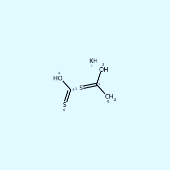 CC(O)=S.OC=S.[KH]